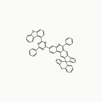 c1ccc(-c2nc(-c3ccc4c(c3)nc(-c3ccccc3)c3cc5c(cc34)C3(c4ccccc4Sc4ccccc43)c3ccccc3-5)nc(-c3cccc4oc5ccccc5c34)n2)cc1